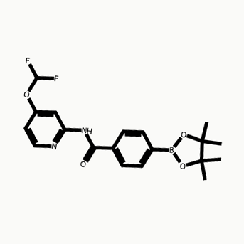 CC1(C)OB(c2ccc(C(=O)Nc3cc(OC(F)F)ccn3)cc2)OC1(C)C